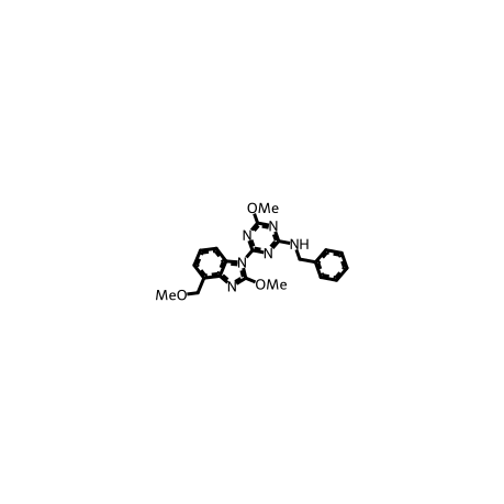 COCc1cccc2c1nc(OC)n2-c1nc(NCc2ccccc2)nc(OC)n1